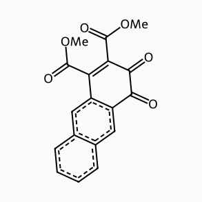 COC(=O)C1=C(C(=O)OC)c2cc3ccccc3cc2C(=O)C1=O